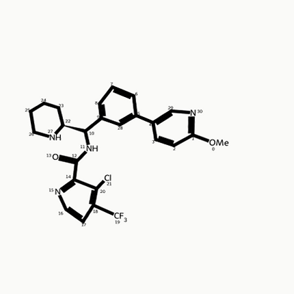 COc1ccc(-c2cccc(C(NC(=O)c3nccc(C(F)(F)F)c3Cl)[C@@H]3CCCCN3)c2)cn1